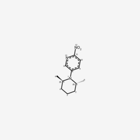 C[C@@H]1CCC[C@@H](C)N1c1ccc([N+](=O)[O-])nc1